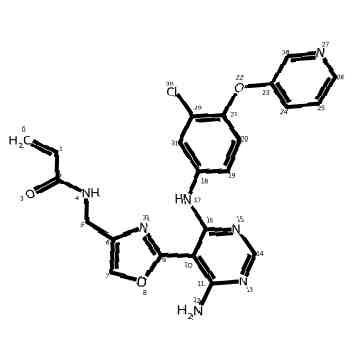 C=CC(=O)NCc1coc(-c2c(N)ncnc2Nc2ccc(Oc3cccnc3)c(Cl)c2)n1